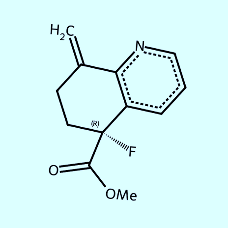 C=C1CC[C@](F)(C(=O)OC)c2cccnc21